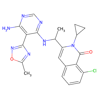 Cc1nc(-c2c(N)ncnc2NC(C)c2cc3cccc(Cl)c3c(=O)n2C2CC2)no1